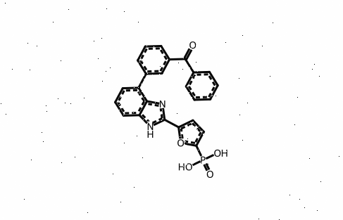 O=C(c1ccccc1)c1cccc(-c2cccc3[nH]c(-c4ccc(P(=O)(O)O)o4)nc23)c1